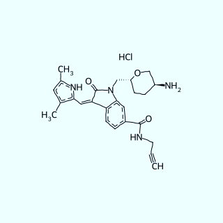 C#CCNC(=O)c1ccc2c(c1)N(C[C@H]1CC[C@H](N)CO1)C(=O)/C2=C\c1[nH]c(C)cc1C.Cl